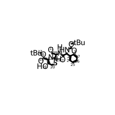 CC(C)(C)OC(=O)NC(C(=O)NC1C(=O)N2C(C(=O)OC(C)(C)C)=C(O)CS[C@@H]12)c1ccccc1